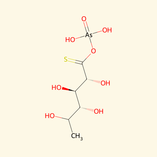 CC(O)[C@@H](O)[C@@H](O)[C@@H](O)C(=S)O[As](=O)(O)O